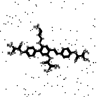 C=C(C)C(=O)Oc1ccc(/C=C/c2cc(OC/C=C/C)c(-c3ccc(OC(=O)C(=C)C)cc3)cc2OC(=O)C(=C)C)cc1